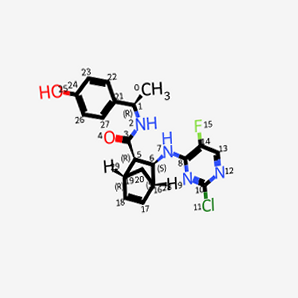 C[C@@H](NC(=O)[C@H]1[C@@H](Nc2nc(Cl)ncc2F)[C@@H]2C=C[C@H]1C2)c1ccc(O)cc1